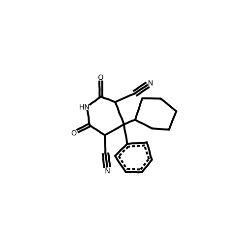 N#CC1C(=O)NC(=O)C(C#N)C1(c1ccccc1)C1CCCCC1